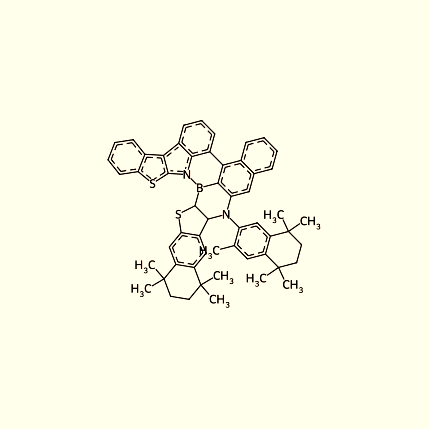 Cc1cc2c(cc1N1c3cc4ccccc4c4c3B(C3Sc5cc6c(cc5C31)C(C)(C)CCC6(C)C)n1c3sc5ccccc5c3c3cccc-4c31)C(C)(C)CCC2(C)C